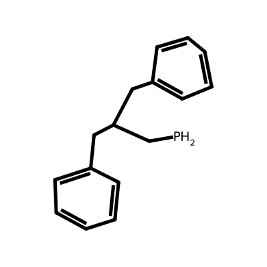 PCC(Cc1ccccc1)Cc1ccccc1